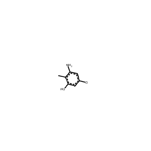 Cc1c(N)cc(Cl)cc1O